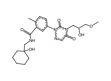 COCC(O)Cn1c(=O)cnn(-c2ccc(C)c(C(=O)NCC3(O)CCCCC3)c2)c1=O